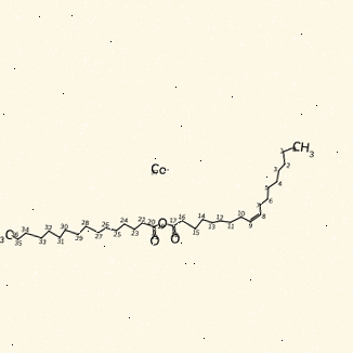 CCCCCCCC/C=C\CCCCCCCC(=O)OC(=O)CCCCCCCCCCCCCCC.[Co]